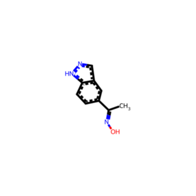 C/C(=N\O)c1ccc2[nH]ncc2c1